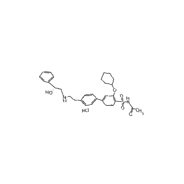 CC(=O)NS(=O)(=O)c1ccc(-c2ccc(CCNC[C@H](O)c3ccccc3)cc2)cc1OC1CCCCC1.Cl